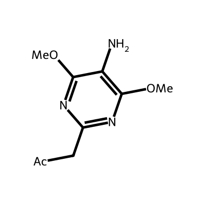 COc1nc(CC(C)=O)nc(OC)c1N